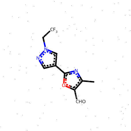 Cc1nc(-c2cnn(CC(F)(F)F)c2)oc1C=O